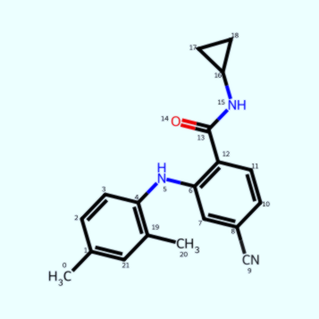 Cc1ccc(Nc2cc(C#N)ccc2C(=O)NC2CC2)c(C)c1